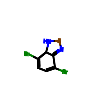 BrC1=CC=C(Br)C2NSN=C12